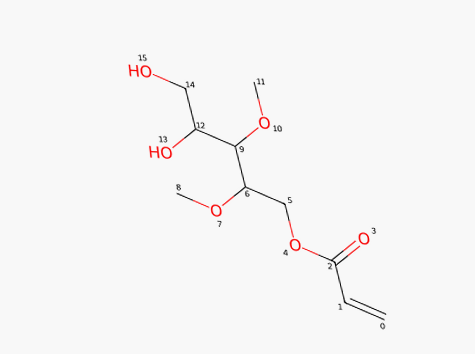 C=CC(=O)OCC(OC)C(OC)C(O)CO